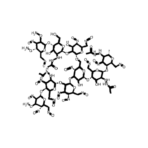 CC(=O)NNC1C(O)[C@H](O[C@@H]2OC(CO[C@H]3OC(CN=O)[C@@H](N=O)C(O)C3O[C@@H]3OC(CO)[C@@H](O[C@@H]4OC(CN=O)[C@H](ON)C(N=O)C4ON)C(O)C3NNC(C)=O)[C@@H](N=O)C(O[C@H]3OC(CN=O)[C@@H](N=O)C(N=O)C3O[C@@H]3OC(CN=O)[C@@H](O[C@@H]4OC(CN=O)[C@H](N=O)C(ON)C4N=O)C(N=O)C3NNC(C)=O)C2O)C(CN=O)O[C@H]1O[C@@H]1C(CN=O)O[C@@H](C)C(NNC(C)=O)C1N=O